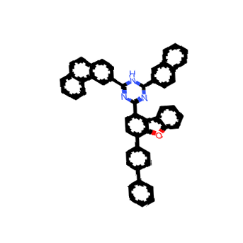 c1ccc(-c2ccc(-c3ccc(C4=NC(c5ccc6ccccc6c5)NC(c5ccc6ccc7ccccc7c6c5)=N4)c4c3oc3ccccc34)cc2)cc1